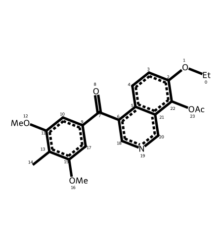 CCOc1ccc2c(C(=O)c3cc(OC)c(C)c(OC)c3)cncc2c1OC(C)=O